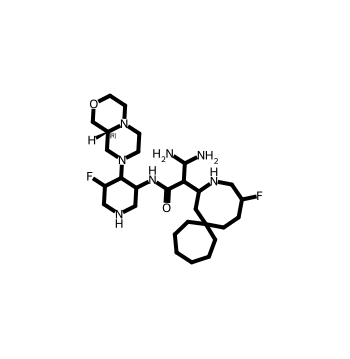 NC(N)C(C(=O)NC1CNCC(F)C1N1CCN2CCOC[C@H]2C1)C1CC2(CCCCCC2)CCC(F)CN1